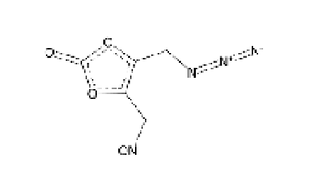 [N-]=[N+]=NCc1oc(=O)oc1CN=O